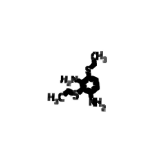 CCSc1ccc(N)c(SCC)c1N